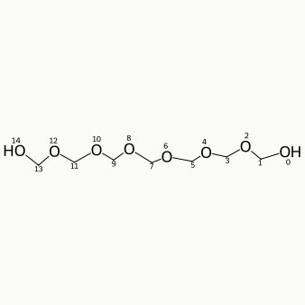 OCOCOCOCOCOCOCO